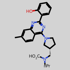 CCCN(C[C@H]1CCN(c2nc(-c3ccccc3O)nc3cc(C)ccc23)C1)C(=O)O